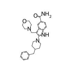 NC(=O)c1ccc2[nH]c(N3CCC(Cc4ccccc4)CC3)c(CN3CCOCC3)c2c1